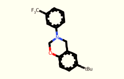 CC(C)(C)c1ccc2c(c1)CN(c1cccc(C(F)(F)F)c1)CO2